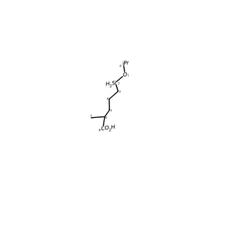 CC(C)O[SiH2]CCCC(C)C(=O)O